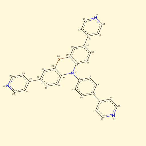 c1cc(-c2ccc(N3c4ccc(-c5ccncc5)cc4Sc4cc(-c5ccncc5)ccc43)cc2)ccn1